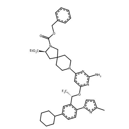 CCOC(=O)[C@@H]1CC2(CCN(c3cc(O[C@H](c4cc(C5CCCCC5)ccc4-n4ccc(C)n4)C(F)(F)F)nc(N)n3)CC2)CN1C(=O)OCc1ccccc1